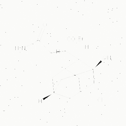 CCOC(=O)[C@@H](CC(N)=O)[C@@H]1[C@@H]2C[C@H]3C[C@@](Cl)(C2)C[C@]1(O)C3